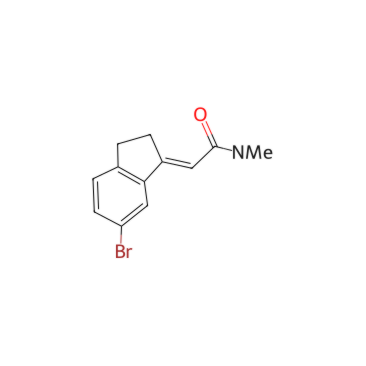 CNC(=O)/C=C1\CCc2ccc(Br)cc21